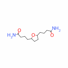 NC(=O)CCCC1CCC(CCCC(N)=O)O1